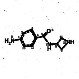 Nc1ccc(C(=O)NC2CNC2)cc1